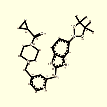 CC1(C)OB(c2ccc3nc(Nc4cc(CN5CCN(C(=O)C6CC6)CC5)ccn4)[nH]c3c2)OC1(C)C